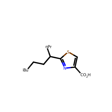 CCCC(CCC(C)CC)c1nc(C(=O)O)cs1